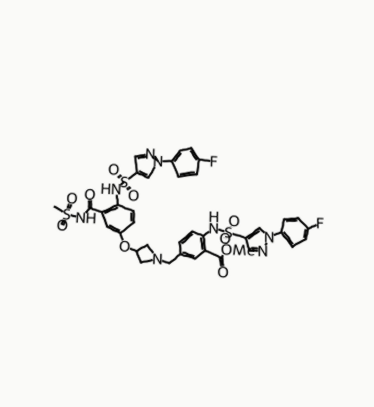 COC(=O)c1cc(CN2CC(Oc3ccc(NS(=O)(=O)c4cnn(-c5ccc(F)cc5)c4)c(C(=O)NS(C)(=O)=O)c3)C2)ccc1NS(=O)(=O)c1cnn(-c2ccc(F)cc2)c1